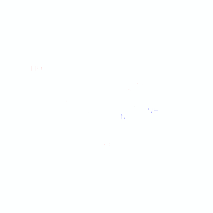 CCOc1ccccc1NC(=O)N1CCOc2ccc(COCCO)cc2C1